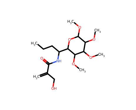 C=C(CO)C(=O)NC(CCC)C1OC(OC)C(OC)C(OC)C1OC